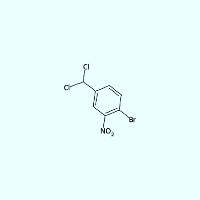 O=[N+]([O-])c1cc(C(Cl)Cl)ccc1Br